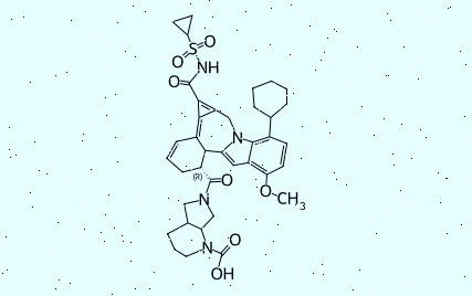 COc1ccc(C2CCCCC2)c2c1cc1n2CC2=C(C(=O)NS(=O)(=O)C3CC3)C2=C2C=CC[C@@H](C(=O)N3CC4CCCN(C(=O)O)C4C3)C21